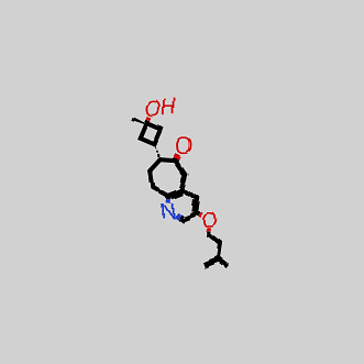 C=C(C)CCOc1cnc2c(c1)CC(=O)C([C@H]1C[C@@](C)(O)C1)CC2